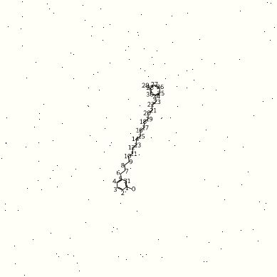 Cc1cccc(CCCCCCCCCCCCCCCCCCc2cccc(C)c2)c1